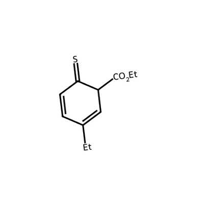 CCOC(=O)C1C=C(CC)C=CC1=S